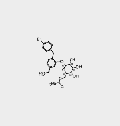 CCc1ccc(Cc2ccc(CO)cc2O[C@H]2O[C@H](COC(=O)C(C)(C)C)[C@@H](O)[C@H](O)[C@H]2O)cc1